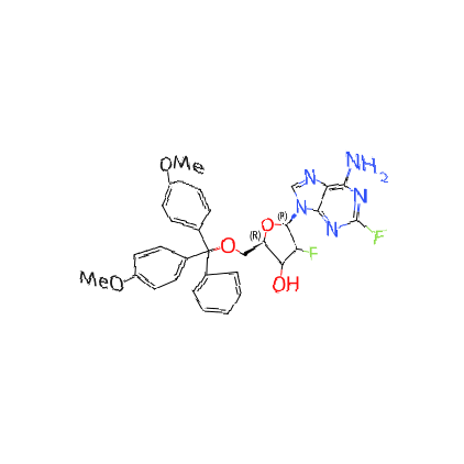 COc1ccc(C(OC[C@H]2O[C@@H](n3cnc4c(N)nc(F)nc43)C(F)C2O)(c2ccccc2)c2ccc(OC)cc2)cc1